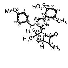 COc1ccc(Cn2nnnc2C2N3C(=O)C(N)[C@@H]3SC2(C)C)cc1.Cc1ccc(S(=O)(=O)O)cc1